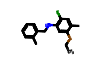 Cc1ccccc1CNc1cc(SCC(F)(F)F)c(C)cc1F